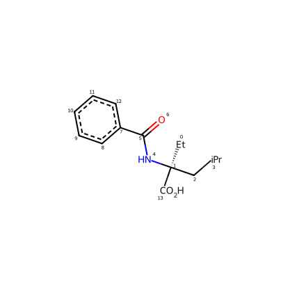 CC[C@@](CC(C)C)(NC(=O)c1ccccc1)C(=O)O